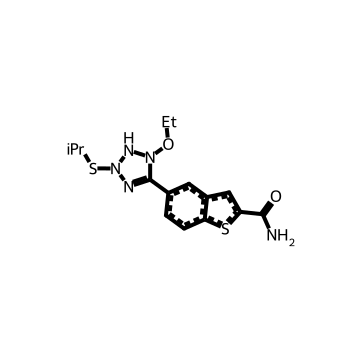 CCON1NN(SC(C)C)N=C1c1ccc2sc(C(N)=O)cc2c1